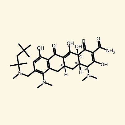 CN(C)c1c(CN(C)C(C)(C)CC(C)(C)C)cc(O)c2c1C[C@H]1C[C@H]3[C@H](N(C)C)C(O)=C(C(N)=O)C(=O)[C@@]3(O)C(O)=C1C2=O